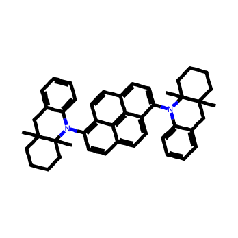 CC12CCCCC1(C)N(c1ccc3ccc4c(N5c6ccccc6CC6(C)CCCCC56C)ccc5ccc1c3c54)c1ccccc1C2